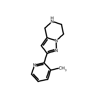 Cc1cccnc1-c1cc2n(n1)CCNC2